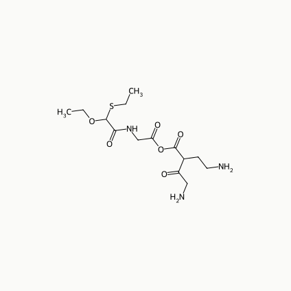 CCOC(SCC)C(=O)NCC(=O)OC(=O)C(CCN)C(=O)CN